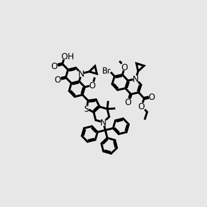 CCOC(=O)c1cn(C2CC2)c2c(OC)c(Br)ccc2c1=O.COc1c(-c2cc3c(s2)CN(C(c2ccccc2)(c2ccccc2)c2ccccc2)CC3(C)C)ccc2c(=O)c(C(=O)O)cn(C3CC3)c12